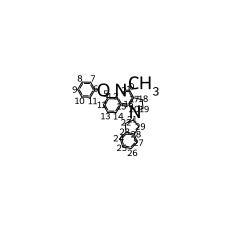 Cc1nc2c(Oc3ccccc3)cccc2c2c1CCN2C1Cc2ccccc2C1